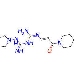 N=C(NC(N)=NC=CC(=O)N1CCCCC1)NN1CCCC1